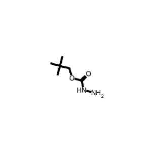 CC(C)(C)COC(=O)NN